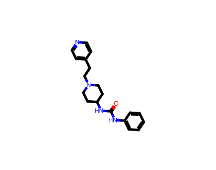 O=C(Nc1ccccc1)NC1CCN(CCc2ccncc2)CC1